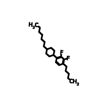 CCCCCCCC1CCC(c2ccc(CCCCC)c(F)c2F)CC1